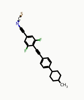 CC1CCC(c2ccc(C#Cc3c(F)cc(C#CN=C=S)cc3F)cc2)CC1